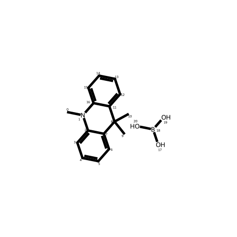 CN1c2ccccc2C(C)(C)c2ccccc21.OB(O)O